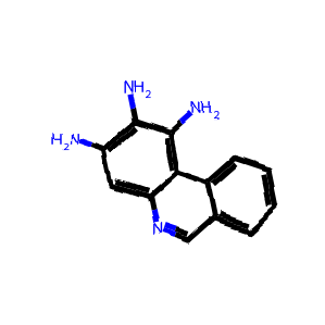 Nc1cc2ncc3ccccc3c2c(N)c1N